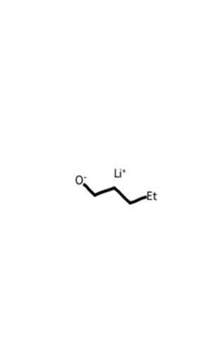 CCCCC[O-].[Li+]